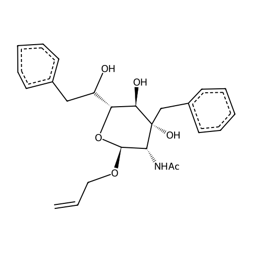 C=CCO[C@H]1O[C@H](C(O)Cc2ccccc2)[C@@H](O)[C@@](O)(Cc2ccccc2)[C@@H]1NC(C)=O